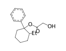 CCC1CCCCC1(OC(=O)CO)c1ccccc1